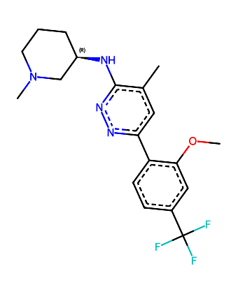 COc1cc(C(F)(F)F)ccc1-c1cc(C)c(N[C@@H]2CCCN(C)C2)nn1